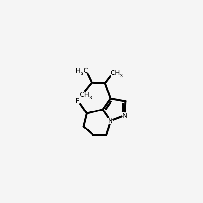 CC(C)C(C)c1cnn2c1C(F)CCC2